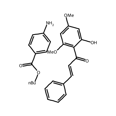 CCCCOC(=O)c1ccc(N)cc1.COc1cc(O)c(C(=O)C=Cc2ccccc2)c(OC)c1